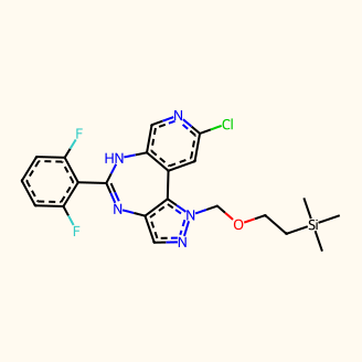 C[Si](C)(C)CCOCn1ncc2c1-c1cc(Cl)ncc1NC(c1c(F)cccc1F)=N2